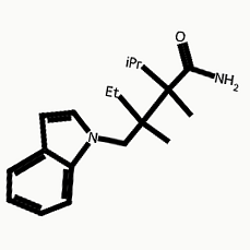 CCC(C)(Cn1ccc2ccccc21)C(C)(C(N)=O)C(C)C